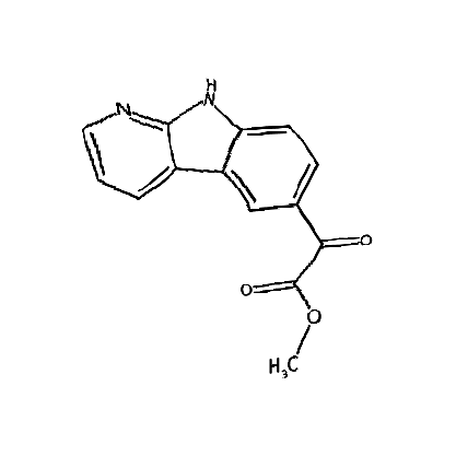 COC(=O)C(=O)c1ccc2[nH]c3ncccc3c2c1